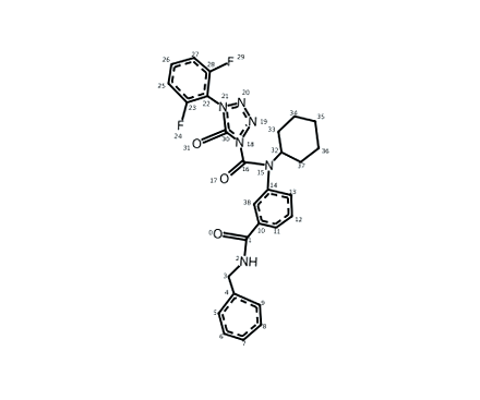 O=C(NCc1ccccc1)c1cccc(N(C(=O)n2nnn(-c3c(F)cccc3F)c2=O)C2CCCCC2)c1